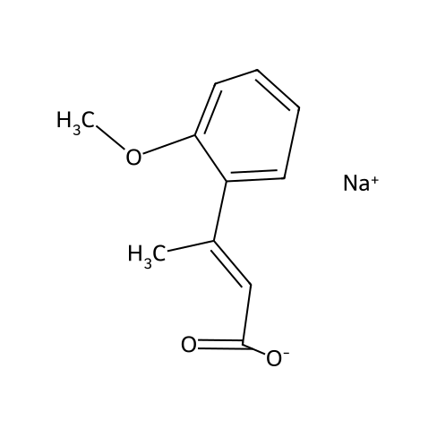 COc1ccccc1C(C)=CC(=O)[O-].[Na+]